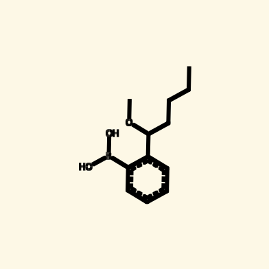 CCCCC(OC)c1ccccc1B(O)O